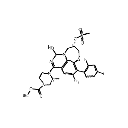 C[C@H]1CN(C(=O)OC(C)(C)C)CCN1C1=NC(O)N2C[C@H](OS(C)(=O)=O)CSc3c(-c4ccc(F)cc4F)c(C(F)(F)F)cc1c32